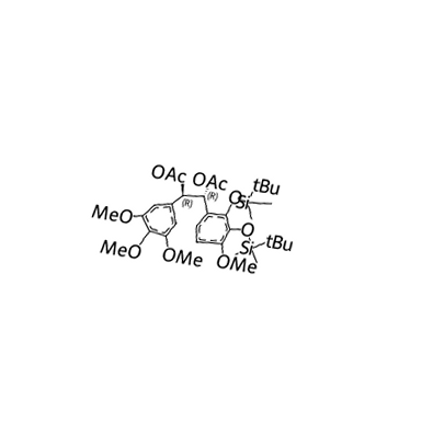 COc1cc([C@@H](OC(C)=O)[C@H](OC(C)=O)c2ccc(OC)c(O[Si](C)(C)C(C)(C)C)c2O[Si](C)(C)C(C)(C)C)cc(OC)c1OC